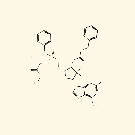 CNc1nc(N)nc2c1ncn2[C@@H]1O[C@H](CO[P@](=O)(N[C@@H](C)C(=O)OC(C)C)Oc2ccccc2)[C@@H](OC(=O)OCc2ccccc2)[C@]1(F)Cl